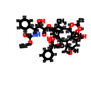 CCC(=O)O[C@H]1C(=O)[C@@]2(C)C([C@H](OC(=O)c3ccccc3)[C@]3(O)C[C@H](OC(=O)[C@H](O)[C@@H](NC(=O)OC(C)(C)C)c4ccccc4)C(C)=C1[C@@H]3C)[C@]1(OC(C)=O)CO[C@@H]1C[C@@H]2O